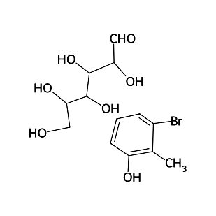 Cc1c(O)cccc1Br.O=CC(O)C(O)C(O)C(O)CO